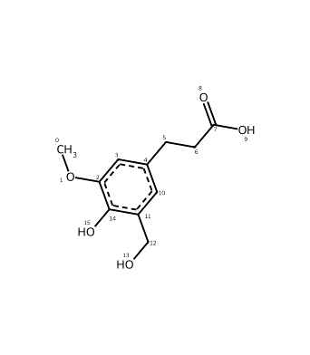 COc1cc(CCC(=O)O)cc(CO)c1O